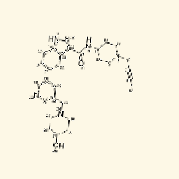 CC#CCN1CCC(NC(=O)c2n[nH]c3ccc(-c4cncc(CN5CCC(O)CC5)c4)cc23)CC1